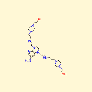 Nc1cnc2c(c1)N(CCNCCCN1CCN(CCO)CC1)CCN2CCNCCN1CCN(CCO)CC1